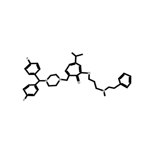 CC(C)c1ccc(CN2CCN(C(c3ccc(F)cc3)c3ccc(F)cc3)CC2)c(=O)c(OCCCN(C)CCc2ccccc2)c1